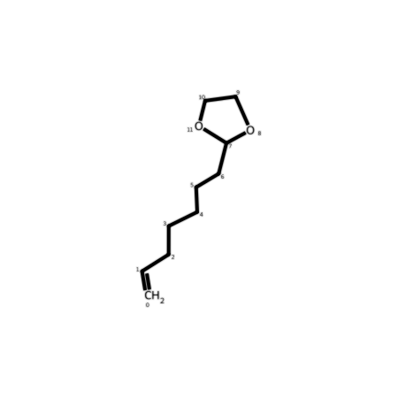 C=CCCCCCC1OCCO1